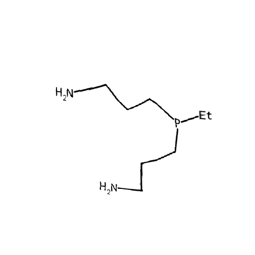 CCP(CCCN)CCCN